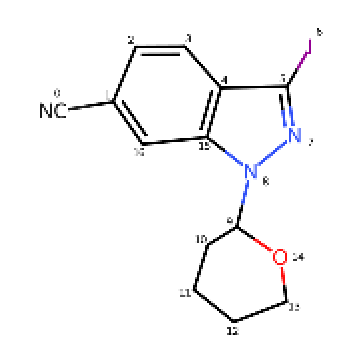 N#Cc1ccc2c(I)nn(C3CCCCO3)c2c1